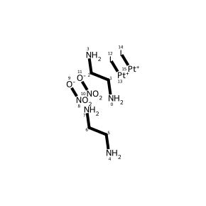 NCCN.NCCN.O=[N+]([O-])[O-].O=[N+]([O-])[O-].[I][Pt+].[I][Pt+]